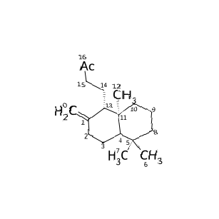 C=C1CCC2C(C)(C)CCC[C@]2(C)[C@H]1CCC(C)=O